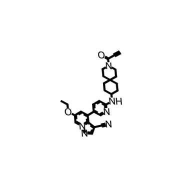 C#CC(=O)N1CCC2(CCC(Nc3ccc(-c4cc(OCC)cn5ncc(C#N)c45)cn3)CC2)CC1